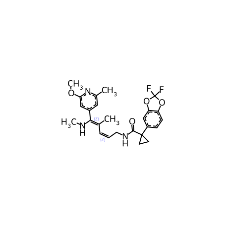 CN/C(=C(C)\C=C/CNC(=O)C1(c2ccc3c(c2)OC(F)(F)O3)CC1)c1cc(C)nc(OC)c1